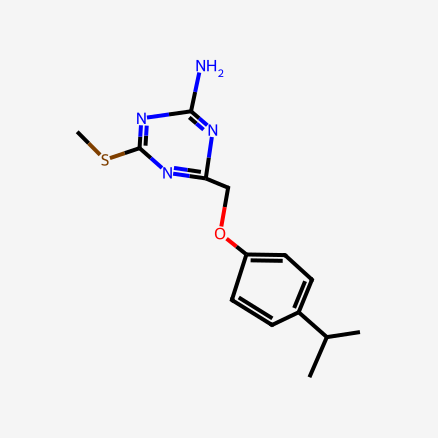 CSc1nc(N)nc(COc2ccc(C(C)C)cc2)n1